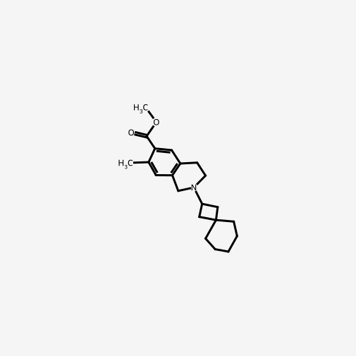 COC(=O)c1cc2c(cc1C)CN(C1CC3(CCCCC3)C1)CC2